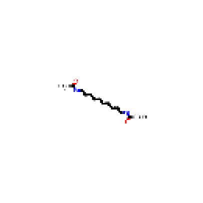 CCOC(=O)C(=O)NCCCCCCCCCCNC(=O)C(=O)OCC